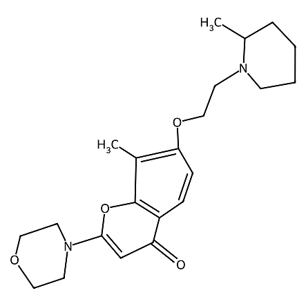 Cc1c(OCCN2CCCCC2C)ccc2c(=O)cc(N3CCOCC3)oc12